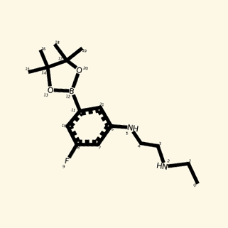 CCNCCNc1cc(F)cc(B2OC(C)(C)C(C)(C)O2)c1